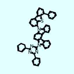 C1=CCCC(c2nc(-c3ccccc3)nc(-n3c4ccccc4c4c5c6ccccc6n(-c6cccc7c6sc6c(-c8ccccc8)cccc67)c5ccc43)n2)=C1